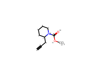 C#CCC1CCCCN1C(=O)OC(Cl)(Cl)Cl